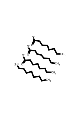 CCCCCCCC(=O)[O-].CCCCCCCC(=O)[O-].CCCCCCCC(=O)[O-].CCCCCCC[CH2][Sn+3]